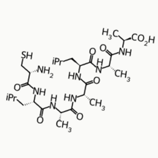 CC(C)C[C@H](NC(=O)[C@H](C)NC(=O)[C@H](C)NC(=O)[C@H](CC(C)C)NC(=O)[C@@H](N)CS)C(=O)N[C@@H](C)C(=O)N[C@@H](C)C(=O)O